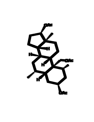 CC(=O)OC[C@]12[C@H](C)C[C@H](OC(C)=O)C[C@@H]1[C@H](C)C[C@H]1[C@@H]3CC[C@H](OC(C)=O)[C@@]3(C)CC[C@@H]12